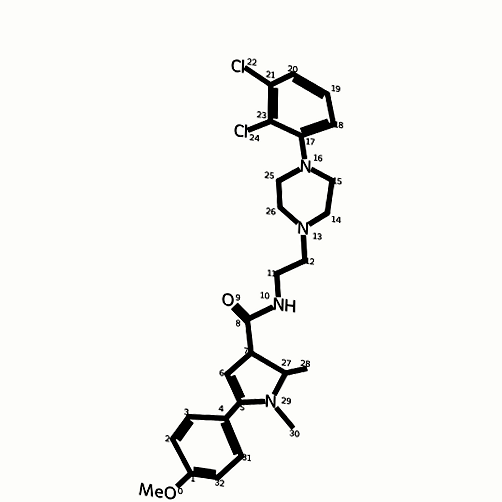 COc1ccc(C2=CC(C(=O)NCCN3CCN(c4cccc(Cl)c4Cl)CC3)C(C)N2C)cc1